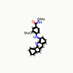 CONC(=O)c1ccc(Nc2cccc3cc4c(nc23)-c2ccccc2C4)c(OC)c1